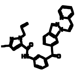 C=CCn1nc(C)cc1C(=O)Nc1cccc(C(=O)c2ccc3cnn(C=Cc4ccccn4)c3c2)c1